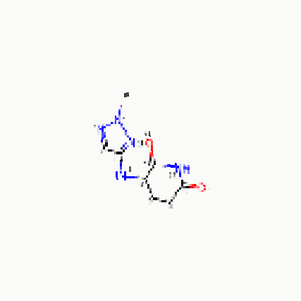 O=C1CCC(Nc2cnn(I)n2)C(=O)N1